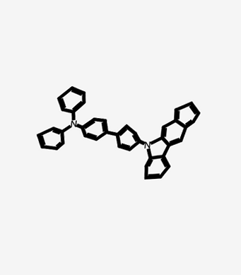 c1ccc(N(c2ccccc2)c2ccc(-c3ccc(-n4c5ccccc5c5cc6ccccc6cc54)cc3)cc2)cc1